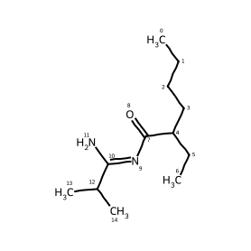 CCCCC(CC)C(=O)N=C(N)C(C)C